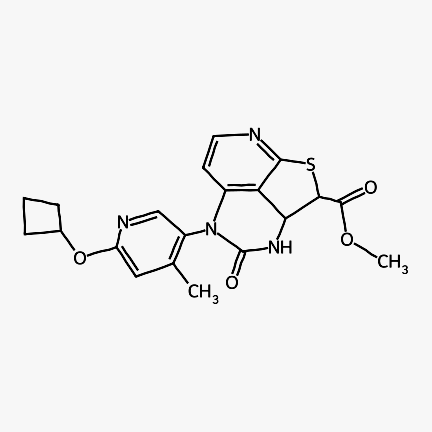 COC(=O)C1Sc2nccc3c2C1NC(=O)N3c1cnc(OC2CCC2)cc1C